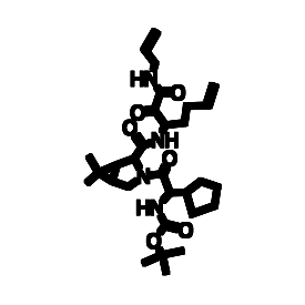 C=CCCC(NC(=O)C1C2C(CN1C(=O)C(NC(=O)OC(C)(C)C)C1CCCC1)C2(C)C)C(=O)C(=O)NCC=C